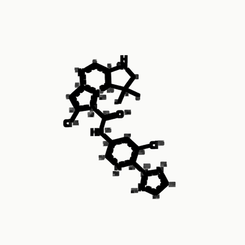 CC1(C)CNc2cnc3cc(Cl)n(C(=O)Nc4cnc(-n5nccn5)c(Cl)c4)[n+]3c21